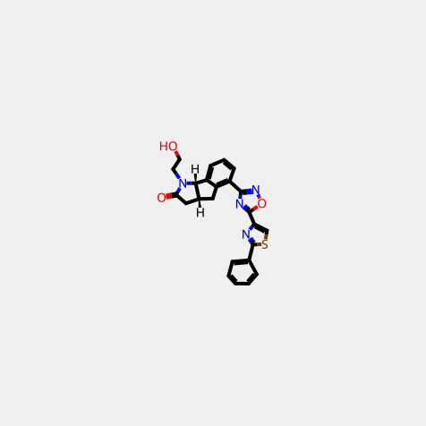 O=C1C[C@H]2Cc3c(-c4noc(-c5csc(-c6ccccc6)n5)n4)cccc3[C@H]2N1CCO